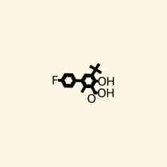 Cc1c(-c2ccc(F)cc2)cc(C(C)(C)C)c(O)c1C(=O)O